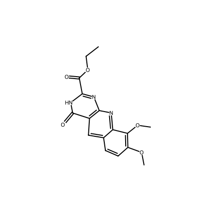 CCOC(=O)c1nc2nc3c(OC)c(OC)ccc3cc2c(=O)[nH]1